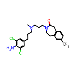 CN(CCCc1cc(Cl)c(N)c(Cl)c1)CCCN1CCc2cc(C(F)(F)F)ccc2CC1=O